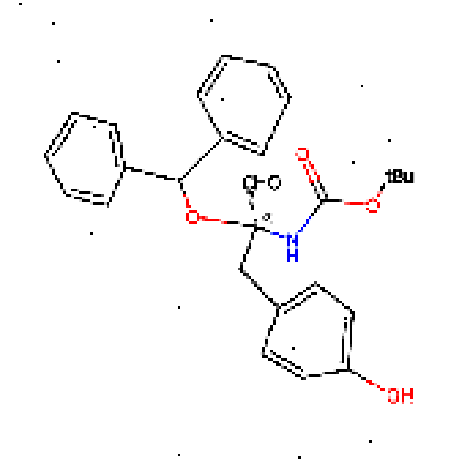 CC(C)(C)OC(=O)N[C@@](C=O)(Cc1ccc(O)cc1)OC(c1ccccc1)c1ccccc1